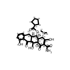 C[C@H]1c2cccc(O)c2C(=O)C2=C(O)[C@]3(O)C(=O)C(C(N)=O)=C(O)[C@@H](N(C)C)[C@@H]3[C@@H](OC(=O)C3CCCC3)[C@@H]21